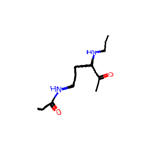 CCNC(CCNC(C)=O)C(C)=O